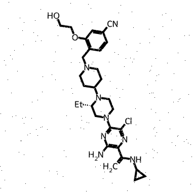 C=C(NC1CC1)c1nc(Cl)c(N2CCN(C3CCN(Cc4ccc(C#N)cc4OCCO)CC3)[C@@H](CC)C2)nc1N